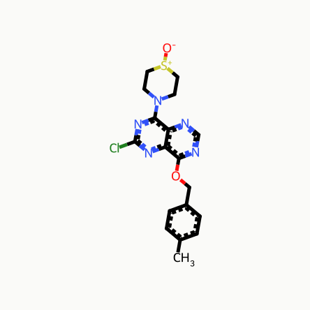 Cc1ccc(COc2ncnc3c(N4CC[S+]([O-])CC4)nc(Cl)nc23)cc1